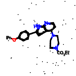 CCOC(=O)N1CCN(c2ccnc3[nH]c(-c4ccc(OC(C)C)cc4)cc23)CC1